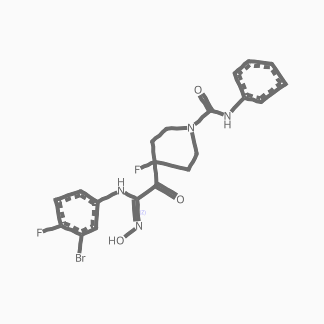 O=C(Nc1ccccc1)N1CCC(F)(C(=O)/C(=N/O)Nc2ccc(F)c(Br)c2)CC1